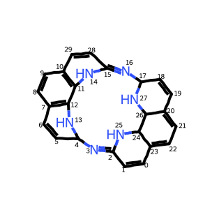 C1=C/C2=N/C3C=Cc4ccc5c(c4N3)N/C(=N\C3C=CC4=CC=C1C(N2)C4N3)C=C5